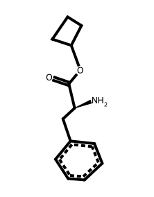 N[C@@H](Cc1ccccc1)C(=O)OC1CCC1